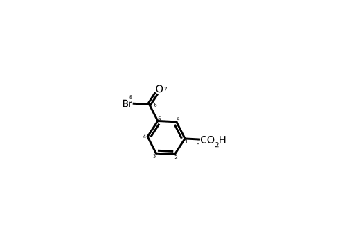 O=C(O)c1cccc(C(=O)Br)c1